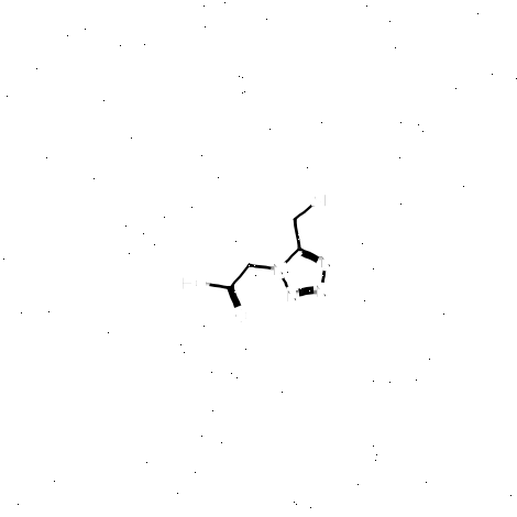 O=C(O)Cn1nnnc1CS